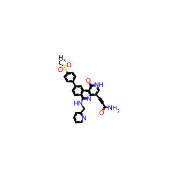 CS(=O)(=O)c1ccc(-c2ccc3c(NCc4ccccn4)nc4c(C#CC(N)=O)c[nH]c(=O)c4c3c2)cc1